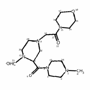 CN1CCN(C(=O)C2CN(CC(=O)N3CCOCC3)CCN2[C]=O)CC1